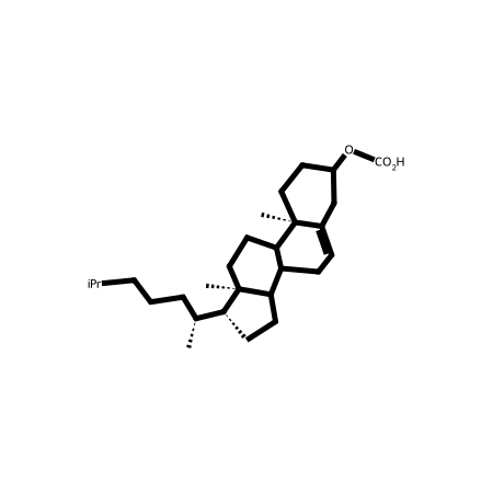 CC(C)CCC[C@@H](C)[C@H]1CCC2C3CC=C4CC(OC(=O)O)CC[C@]4(C)C3CC[C@@]21C